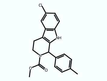 COC(=O)N1CCc2c([nH]c3ccc(Cl)cc23)C1c1ccc(C)cc1